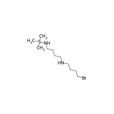 CS(C)(C)NCCCCNCCCCBr